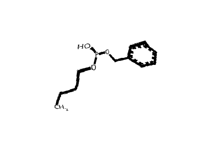 CCCCOP(O)OCc1ccccc1